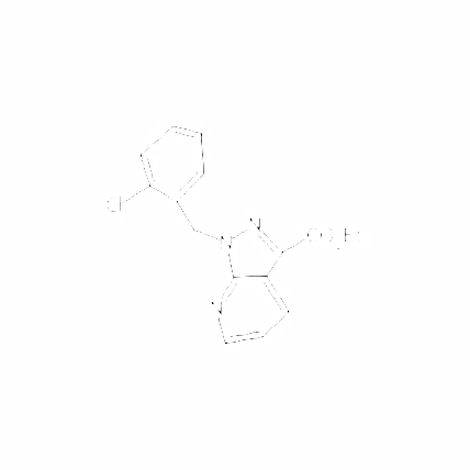 CCOC(=O)c1nn(Cc2ccccc2Cl)c2ncccc12